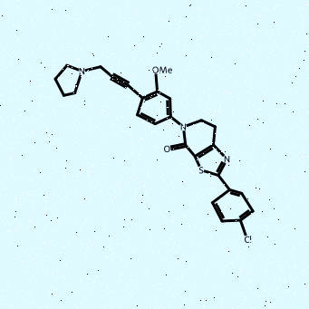 COc1cc(N2CCc3nc(-c4ccc(Cl)cc4)sc3C2=O)ccc1C#CCN1CCCC1